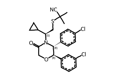 CC(C)(C#N)SC[C@H](C1CC1)N1C(=O)CO[C@H](c2cccc(Cl)c2)[C@H]1c1ccc(Cl)cc1